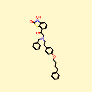 O=C(CN(CCc1ccc(OCCCCc2ccccc2)cc1)Cc1ccccc1)c1cccc2c1sc(=O)n2O